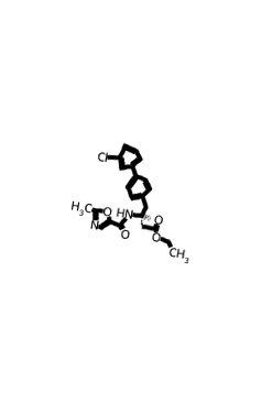 CCOC(=O)C[C@@H](Cc1ccc(-c2cccc(Cl)c2)cc1)NC(=O)c1cnc(C)o1